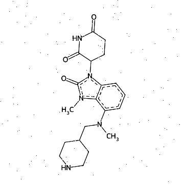 CN(CC1CCNCC1)c1cccc2c1n(C)c(=O)n2C1CCC(=O)NC1=O